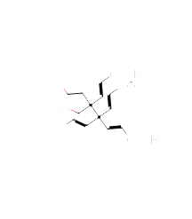 O=C(O)C=CC(C=CC(=O)O)(C=CC(=O)O)C(C=CC(=O)O)(CO)CCO